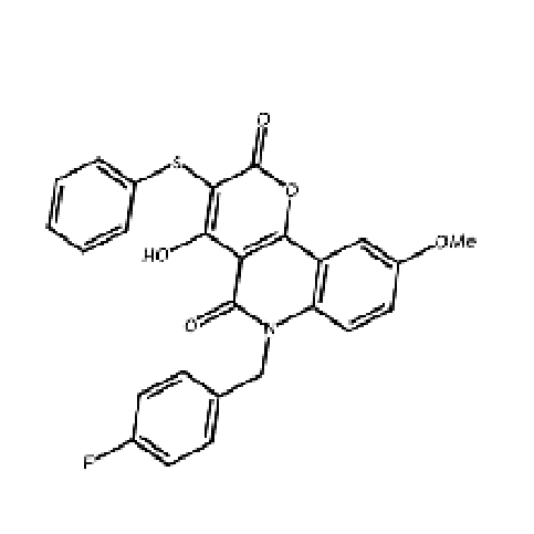 COc1ccc2c(c1)c1oc(=O)c(Sc3ccccc3)c(O)c1c(=O)n2Cc1ccc(F)cc1